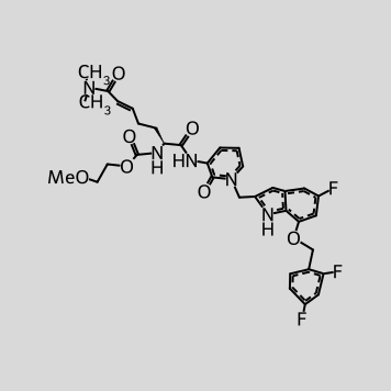 COCCOC(=O)N[C@@H](CC/C=C/C(=O)N(C)C)C(=O)Nc1cccn(Cc2cc3cc(F)cc(OCc4ccc(F)cc4F)c3[nH]2)c1=O